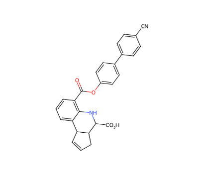 N#Cc1ccc(-c2ccc(OC(=O)c3cccc4c3NC(C(=O)O)C3CC=CC43)cc2)cc1